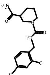 NC(=O)C1CCCN(C(=O)NCc2ccc(Cl)cc2Cl)C1